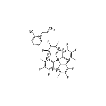 C=CC[n+]1ccccc1C#N.Fc1c(F)c(F)c([B-](c2c(F)c(F)c(F)c(F)c2F)(c2c(F)c(F)c(F)c(F)c2F)c2c(F)c(F)c(F)c(F)c2F)c(F)c1F